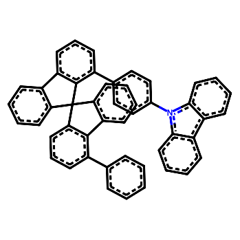 c1ccc(-c2cccc3c2-c2ccccc2C32c3ccccc3-c3cccc(-c4ccc(-n5c6ccccc6c6ccccc65)cc4)c32)cc1